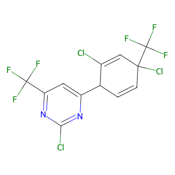 FC(F)(F)c1cc(C2C=CC(Cl)(C(F)(F)F)C=C2Cl)nc(Cl)n1